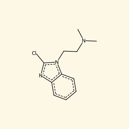 CN(C)CCn1c(Cl)nc2ccccc21